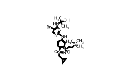 CC(C)(O)Nc1nc(Nc2ccc(S(=O)(CC3CC3)=NS(=O)(=O)CC[Si](C)(C)C)cc2)ncc1Br